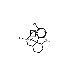 CCN(CC1CCCC(C)C1(OC)c1ccnc(Cl)c1)C12CC(C1)C2